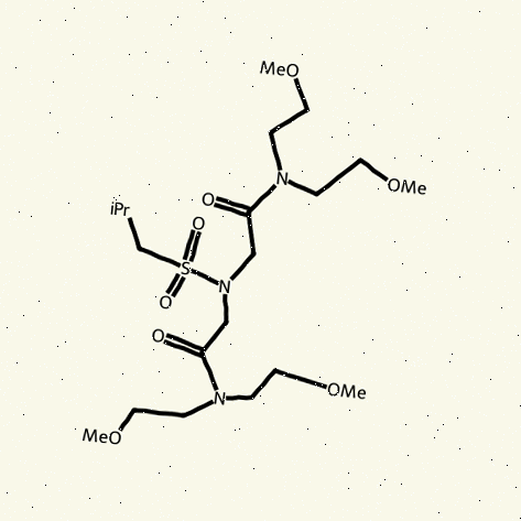 COCCN(CCOC)C(=O)CN(CC(=O)N(CCOC)CCOC)S(=O)(=O)CC(C)C